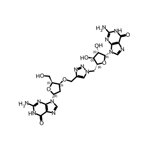 Nc1nc2c(ncn2[C@@H]2O[C@H](Cn3cc(CO[C@H]4C[C@H](n5cnc6c(=O)[nH]c(N)nc65)O[C@H]4CO)nn3)[C@@H](O)[C@@H]2O)c(=O)[nH]1